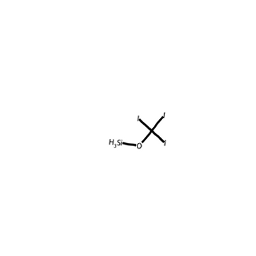 [SiH3]OC(I)(I)I